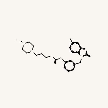 CN1CCN(CCCOC(=O)Nc2cccc(Cn3c(=O)oc4cc(Cl)ccc43)c2)CC1